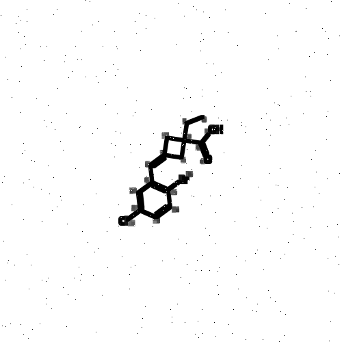 CCC1(C(=O)O)CC(=Cc2cc(Cl)ccc2Br)C1